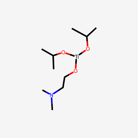 CC(C)[O][Ti]([O]CCN(C)C)[O]C(C)C